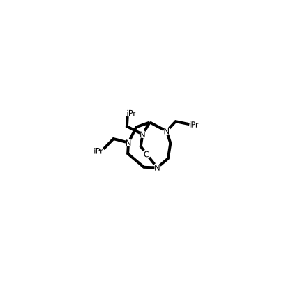 CC(C)CN1CCN2CCN(CC(C)C)C(C1)N(CC(C)C)CC2